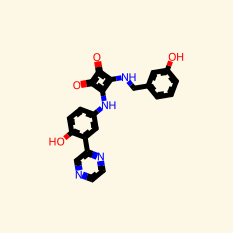 O=c1c(NCc2cccc(O)c2)c(Nc2ccc(O)c(-c3cnccn3)c2)c1=O